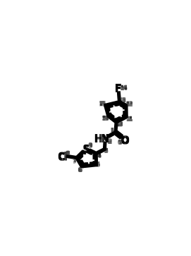 O=C(NCc1ccc(Cl)s1)c1ccc(F)cc1